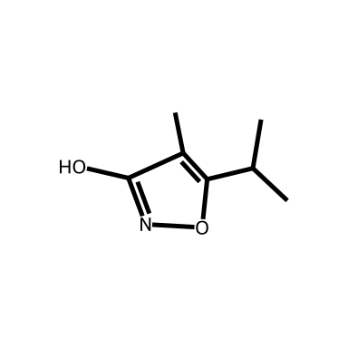 Cc1c(O)noc1C(C)C